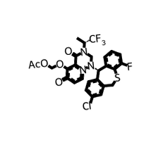 CC(=O)OCOc1c2n(ccc1=O)N([C@H]1c3ccc(Cl)cc3CSc3c(F)cccc31)CN([C@H](C)C(F)(F)F)C2=O